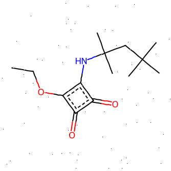 CCOc1c(NC(C)(C)CC(C)(C)C)c(=O)c1=O